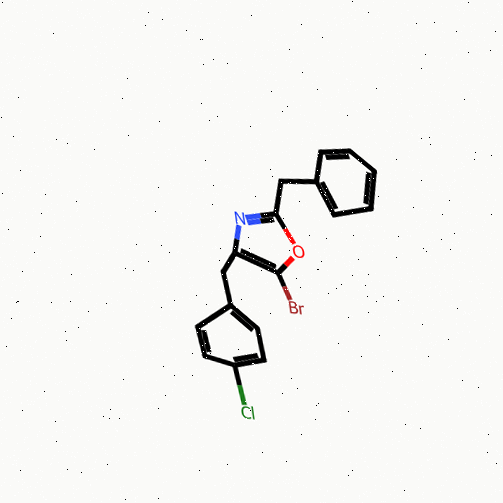 Clc1ccc(Cc2nc(Cc3ccccc3)oc2Br)cc1